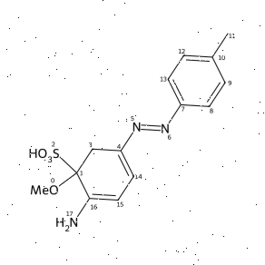 COC1(S(=O)(=O)O)CC(/N=N/c2ccc(C)cc2)=CC=C1N